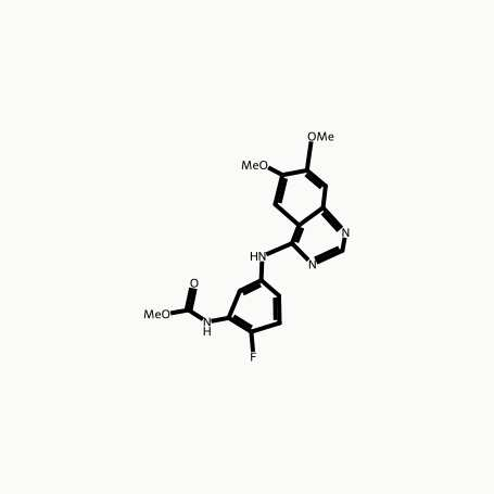 COC(=O)Nc1cc(Nc2ncnc3cc(OC)c(OC)cc23)ccc1F